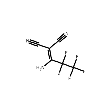 N#CC(C#N)=C(N)C(F)(F)C(F)(F)F